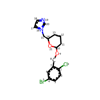 Clc1ccc(Br)cc1COC1CCCC(Cn2ccnc2)O1